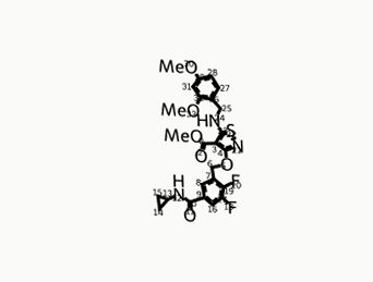 COC(=O)c1c(OCc2cc(C(=O)NC3CC3)cc(F)c2F)nsc1NCc1ccc(OC)cc1OC